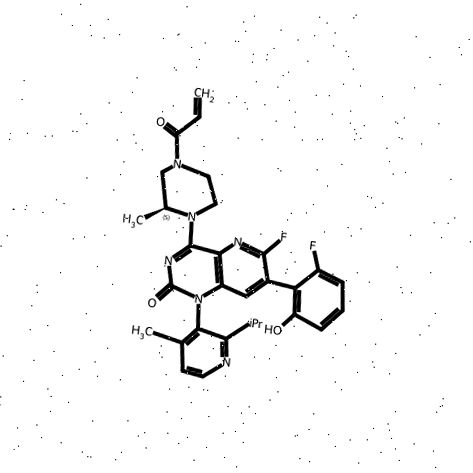 C=CC(=O)N1CCN(c2nc(=O)n(-c3c(C)ccnc3C(C)C)c3cc(-c4c(O)cccc4F)c(F)nc23)[C@@H](C)C1